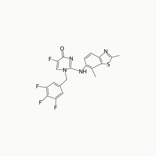 Cc1nc2ccc(Nc3nc(=O)c(F)cn3Cc3cc(F)c(F)c(F)c3)c(C)c2s1